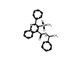 CC(NC(=O)c1c(S(C)(=O)=O)c(-c2ccccc2)nc2ccccc12)c1ccccc1